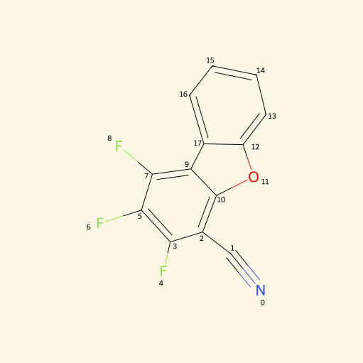 N#Cc1c(F)c(F)c(F)c2c1oc1ccccc12